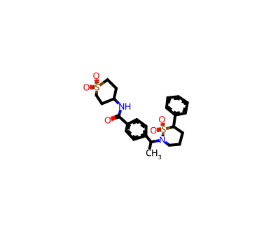 CC(c1ccc(C(=O)NC2CCS(=O)(=O)CC2)cc1)N1CCCC(c2ccccc2)S1(=O)=O